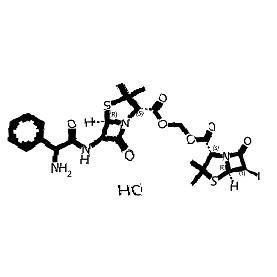 CC1(C)S[C@@H]2C(NC(=O)C(N)c3ccccc3)C(=O)N2[C@H]1C(=O)OCOC(=O)[C@@H]1N2C(=O)[C@@H](I)[C@H]2SC1(C)C.Cl